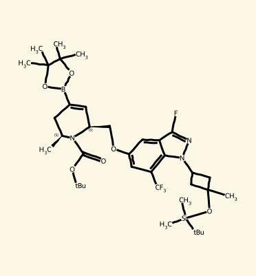 C[C@H]1CC(B2OC(C)(C)C(C)(C)O2)=C[C@@H](COc2cc(C(F)(F)F)c3c(c2)c(F)nn3C2CC(C)(O[Si](C)(C)C(C)(C)C)C2)N1C(=O)OC(C)(C)C